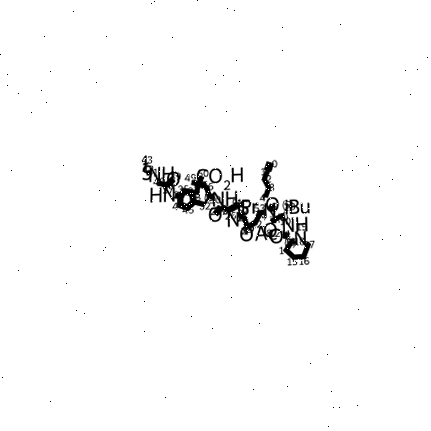 C#CCCCON(C(=O)[C@@H](NC(=O)[C@H]1CCCCN1C)[C@@H](C)CC)[C@H](C[C@@H](OC(C)=O)c1nc(C(=O)N[C@@H](Cc2ccc(NC(=O)CNSI)cc2)CC(C)(C)C(=O)O)cs1)C(C)C